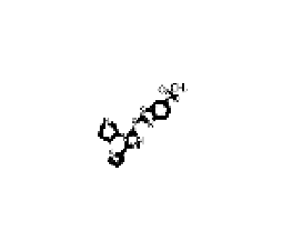 CS(=O)(=O)c1ccc2nc(Sc3nnc(-c4cccs4)n3-c3cccnc3)sc2c1